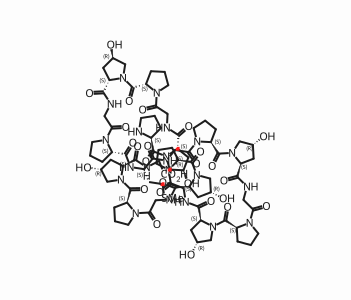 CSCC[C@H](NC(=O)[C@@H]1CCCN1C(=O)CNC(=O)[C@@H]1C[C@@H](O)CN1C(=O)[C@@H]1CCCN1C(=O)CNC(=O)[C@@H]1C[C@@H](O)CN1C(=O)[C@@H]1CCCN1)C(=O)NCC(=O)N1CCC[C@H]1C(=O)N1C[C@H](O)C[C@H]1C(=O)NCC(=O)N1CCC[C@H]1C(=O)N1C[C@H](O)C[C@H]1C(=O)NCC(=O)N1CCC[C@H]1C(=O)N1C[C@H](O)C[C@H]1C(=O)NCC(=O)N1CCC[C@H]1C(=O)N1C[C@H](O)C[C@H]1C(=O)NCC(=O)O